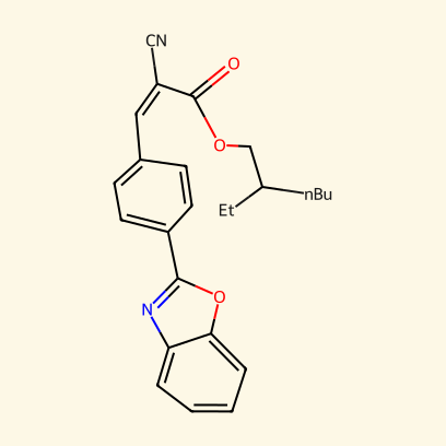 CCCCC(CC)COC(=O)C(C#N)=Cc1ccc(-c2nc3ccccc3o2)cc1